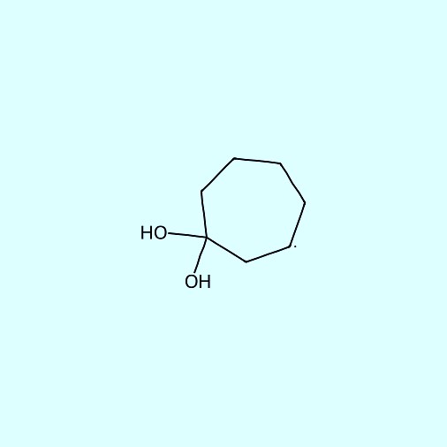 OC1(O)C[CH]CCCC1